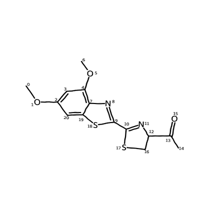 COc1cc(OC)c2nc(C3=NC(C(C)=O)CS3)sc2c1